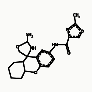 Cc1nc(C(=O)Nc2ccc3c(c2)C2(COC(N)N2)C2CCCCC2O3)co1